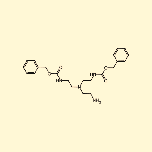 NCCN(CCNC(=O)OCc1ccccc1)CCNC(=O)OCc1ccccc1